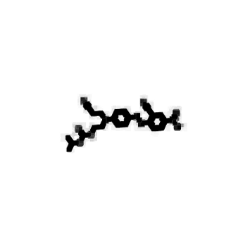 CC(C)OC(=O)OCCN(CCC#N)c1ccc(N=Nc2ccc([N+](=O)[O-])cc2C#N)cc1